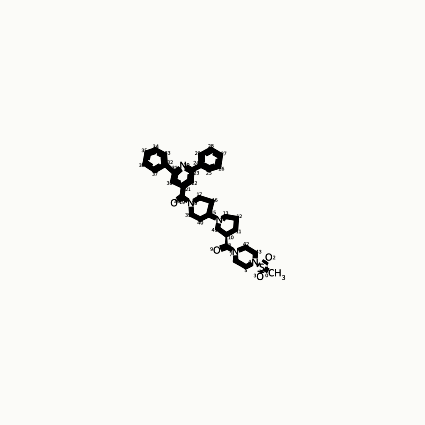 CS(=O)(=O)N1CCN(C(=O)[C@@H]2CCCN(C3CCN(C(=O)c4cc(-c5ccccc5)nc(-c5ccccc5)c4)CC3)C2)CC1